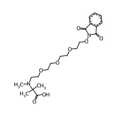 CN(CCOCCOCCOCCON1C(=O)c2ccccc2C1=O)C(C)(C)C(=O)O